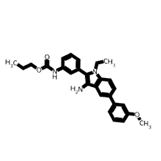 CCCOC(=O)Nc1cccc(-c2c(N)c3cc(-c4cccc(OC)c4)ccc3n2CC)c1